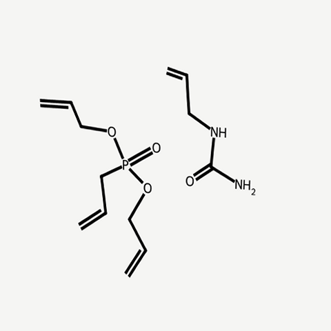 C=CCNC(N)=O.C=CCOP(=O)(CC=C)OCC=C